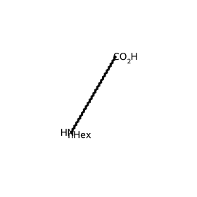 CCCCCCNCCCCCCCCCCCCCCCCCCCCCCCCCCCCCCCCCCCCCCCCCCCCCCC(=O)O